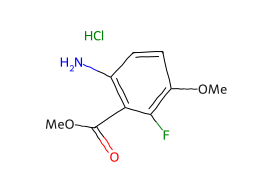 COC(=O)c1c(N)ccc(OC)c1F.Cl